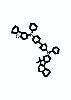 CC1(C)c2cc(N(c3ccccc3)c3ccc(-c4ccc(N(c5ccccc5)c5ccc6oc7ccccc7c6c5)cc4)cc3)ccc2-c2c1ccc1ccccc21